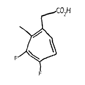 Cc1c(CC(=O)O)ccc(F)c1F